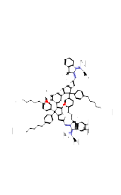 [C-]#[N+]/C(C#N)=C1\C(=C\c2cc3c(s2)-c2sc4c(c2C3(c2ccc(CCCCCC)cc2)c2ccc(CCCCCC)cc2)c2nsnc2c2sc3c(c24)C(c2ccc(CCCCCC)cc2)(c2ccc(CCCCCC)cc2)c2cc(/C=C4\C(=O)c5cc(F)c(F)cc5\C4=C(\C#N)[N+]#[C-])sc2-3)C(=O)c2cc(F)c(F)cc21